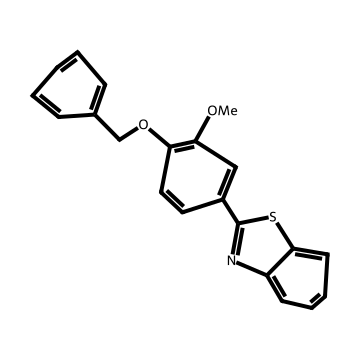 COc1cc(-c2nc3ccccc3s2)ccc1OCc1ccccc1